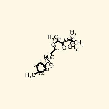 Cc1ccc(S(=O)(=O)OCCOC(C)C(=O)OC(C)(C)C)cc1